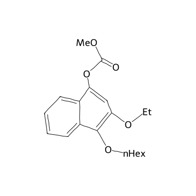 CCCCCCOc1c(OCC)cc(OC(=O)OC)c2ccccc12